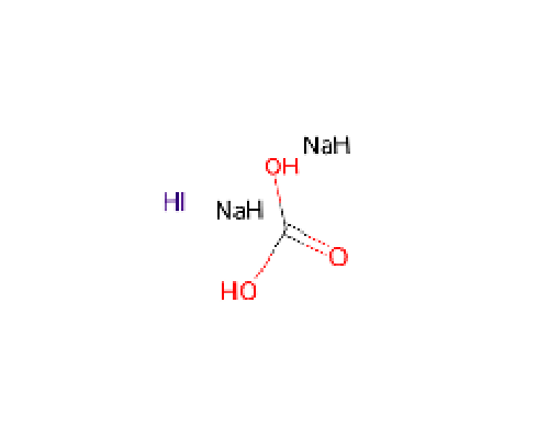 I.O=C(O)O.[NaH].[NaH]